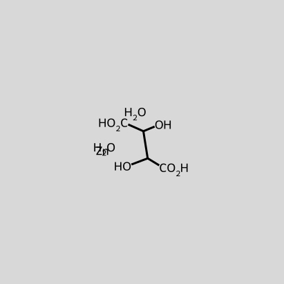 O.O.O=C(O)C(O)C(O)C(=O)O.[Zn]